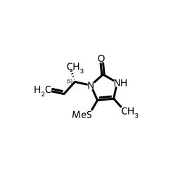 C=C[C@H](C)n1c(SC)c(C)[nH]c1=O